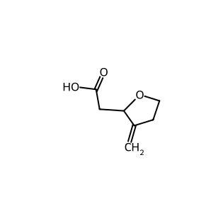 C=C1CCOC1CC(=O)O